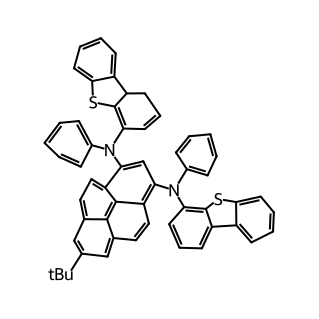 CC(C)(C)c1cc2ccc3c(N(C4=C5Sc6ccccc6C5CC=C4)c4ccccc4)cc(N(c4ccccc4)c4cccc5c4sc4ccccc45)c4ccc(c1)c2c34